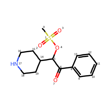 CS(=O)(=O)OC(C(=O)c1ccccc1)C1CCNCC1